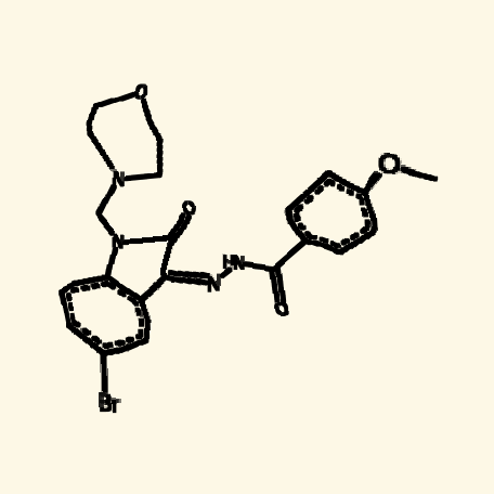 COc1ccc(C(=O)N/N=C2\C(=O)N(CN3CCOCC3)c3ccc(Br)cc32)cc1